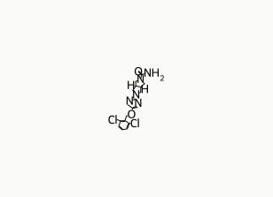 NC(=O)N1C[C@@H]2CN(c3ncc(OCc4c(Cl)cccc4Cl)cn3)C[C@@H]2C1